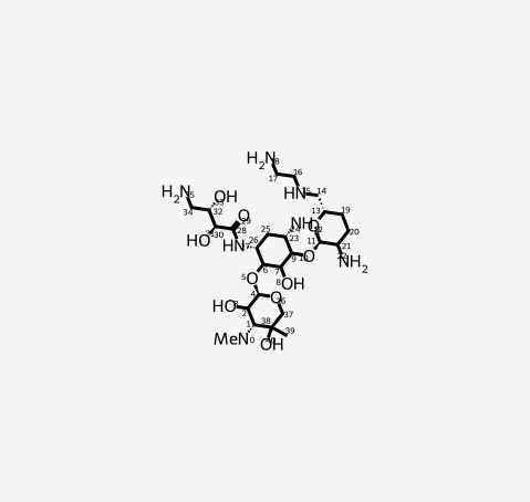 CN[C@@H]1C(O)[C@@H](OC2C(O)C(O[C@H]3O[C@H](CNCCN)CCC3N)[C@@H](N)C[C@H]2NC(=O)[C@@H](O)[C@@H](O)CN)OCC1(C)O